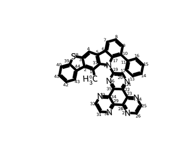 Cc1c2c(cc3c4cccc(-c5ccccc5)c4n(-c4cnc5c6nccnc6c6nccnc6c5n4)c13)sc1ccccc12